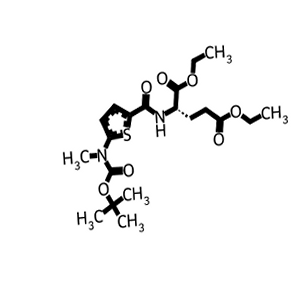 CCOC(=O)CC[C@H](NC(=O)c1ccc(N(C)C(=O)OC(C)(C)C)s1)C(=O)OCC